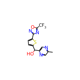 Cc1cnc(C(O)c2ccc(-c3noc(C(F)(F)F)n3)s2)cn1